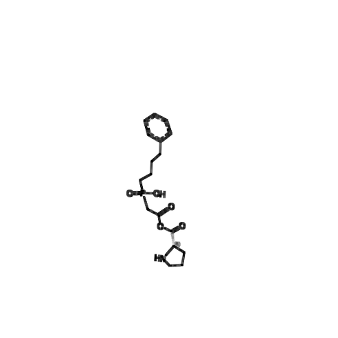 O=C(CP(=O)(O)CCCCc1ccccc1)OC(=O)[C@@H]1CCCN1